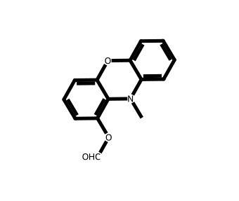 CN1c2ccccc2Oc2cccc(OC=O)c21